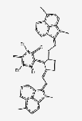 C=c1n(CC)c(=O)c(=C2/C(=C/C=c3\c4cccc5c(C)ccc(c54)n3C)CC/C2=C\C=c2/c3cccc4c(C)ccc(c43)n2C)c(=O)n1CC